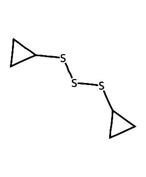 C1CC1SSSC1CC1